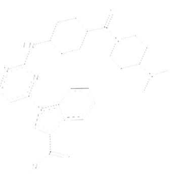 CN(C)C1CCN(C(=O)C2CCC(Nc3nccc(-n4cc(C(N)=O)c5ccccc54)n3)CC2)CC1